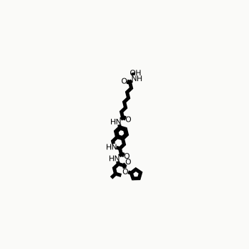 CC(C)CC(NC(=O)C1Cc2ccc(NC(=O)CCCCCCC(=O)NO)cc2CN1)C(=O)OC1CCCC1